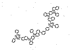 c1ccc(-c2nc(-c3ccccc3)nc(-c3ccc4cc(-n5c6ccccc6c6cc7c8ccc9c(-c%10cccc(-c%11ccc(-c%12nc(-c%13ccccc%13)nc(-c%13ccc(-n%14c%15ccccc%15c%15cc%16c%17ccc%18ccccc%18c%17n(-c%17ccccc%17)c%16cc%15%14)c%14ccccc%13%14)n%12)cc%11)c%10)cccc9c8n(-c8ccccc8)c7cc65)ccc4c3)n2)cc1